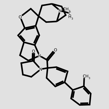 Cc1ccccc1C1=CCC(C(=O)N2CCc3cc4c(cc32)C2(CO4)CC3CCC(C2)[N+]3(C)C)(N2CCCC2=O)C=C1